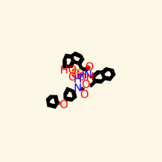 O=C(Nc1ccc(Oc2ccccc2)cc1)OCc1cc2ccccc2cc1NC(=O)C(c1cccc2ccccc12)P(=O)(O)O